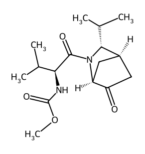 COC(=O)N[C@H](C(=O)N1[C@H](C(C)C)[C@H]2CC(=O)[C@@H]1C2)C(C)C